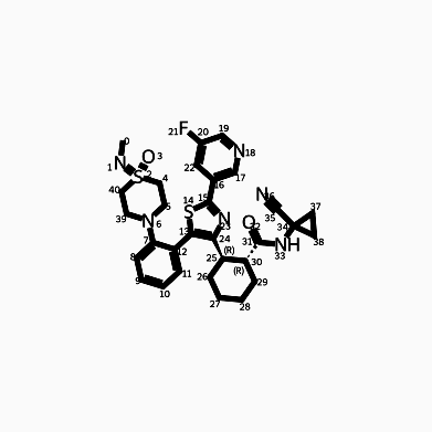 CN=S1(=O)CCN(c2ccccc2-c2sc(-c3cncc(F)c3)nc2[C@@H]2CCCC[C@H]2C(=O)NC2(C#N)CC2)CC1